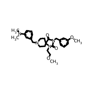 COCCN1C(=O)N(Cc2cccc(OC)c2)C(=O)C12CCN(Cc1cccc(N(C)C)c1)CC2